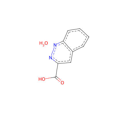 O.O=C(O)c1cc2ccccc2nn1